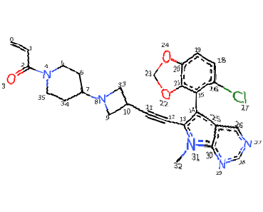 C=CC(=O)N1CCC(N2CC(C#Cc3c(-c4c(Cl)ccc5c4OCO5)c4cncnc4n3C)C2)CC1